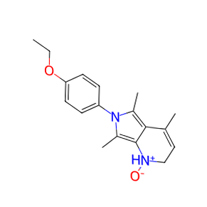 CCOc1ccc(-n2c(C)c3c(c2C)[NH+]([O-])CC=C3C)cc1